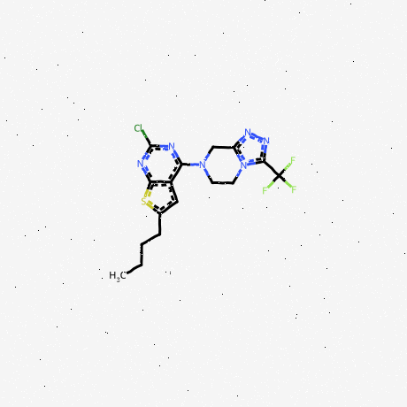 CCCCc1cc2c(N3CCn4c(nnc4C(F)(F)F)C3)nc(Cl)nc2s1